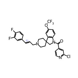 O=C(c1ccnc(Cl)c1)N1CC2(CCN(C/C=C/c3ccc(F)c(F)c3)CC2)c2cc(OC(F)(F)F)ccc21